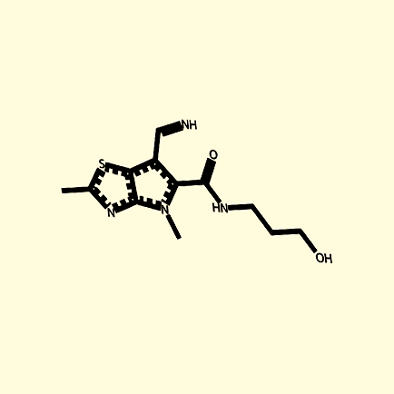 Cc1nc2c(s1)c(C=N)c(C(=O)NCCCO)n2C